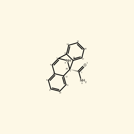 NC(=O)[C@@]12NC(=Cc3ccccc31)c1ccccc12